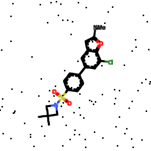 CNc1cc2cc(-c3ccc(S(=O)(=O)N4CC(C)(C)C4)cc3)cc(Cl)c2o1